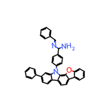 NC(/N=C/c1ccccc1)c1ccc(-n2c3cc(-c4ccccc4)ccc3c3ccc4c5ccccc5oc4c32)cc1